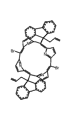 C=CCC1(C2=C3C=CC(=N3)C(Br)=C3C=CC(=N3)C(C3(CC=C)c4ccccc4-c4ccccc43)=C3C=CC(=N3)C(Br)=C3C=CC2=N3)c2ccccc2-c2ccccc21